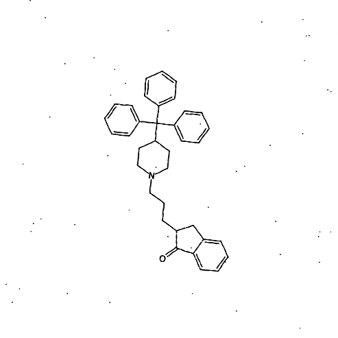 O=C1c2ccccc2CC1CCCN1CCC(C(c2ccccc2)(c2ccccc2)c2ccccc2)CC1